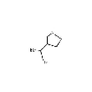 CCC(C(C)C)C1CCNC1